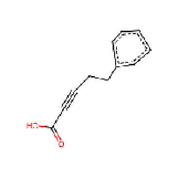 O=C(O)C#CCCc1ccccc1